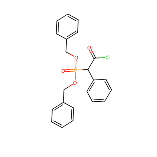 O=C(Cl)C(c1ccccc1)P(=O)(OCc1ccccc1)OCc1ccccc1